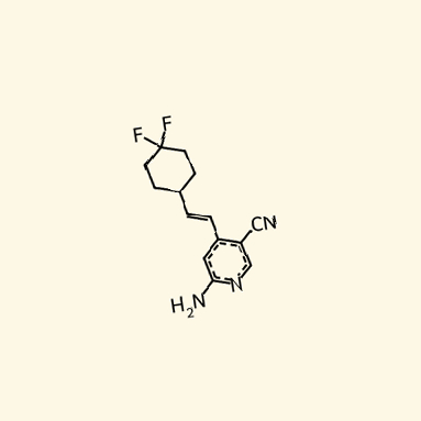 N#Cc1cnc(N)cc1/C=C/C1CCC(F)(F)CC1